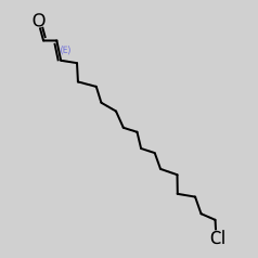 O=C/C=C/CCCCCCCCCCCCCCCCl